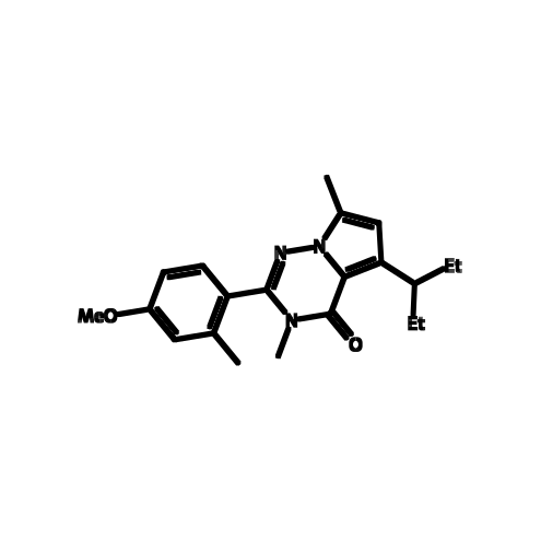 CCC(CC)c1cc(C)n2nc(-c3ccc(OC)cc3C)n(C)c(=O)c12